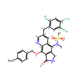 COc1ccc(COc2c3c(c(N(C)S(C)(=O)=O)c4cc(Cc5cc(Cl)c(F)cc5F)cnc24)CNC3=O)cc1